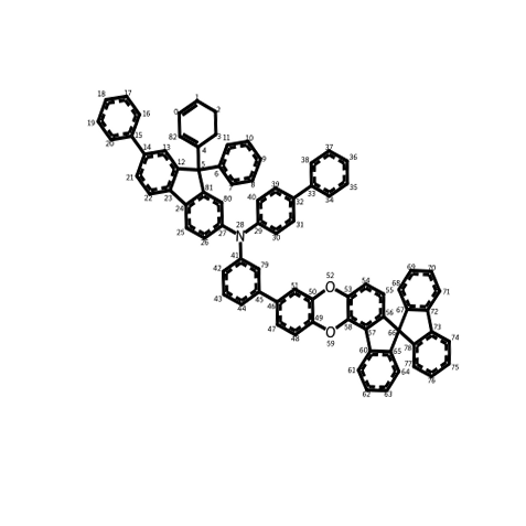 C1=CCCC(C2(c3ccccc3)c3cc(-c4ccccc4)ccc3-c3ccc(N(c4ccc(-c5ccccc5)cc4)c4cccc(-c5ccc6c(c5)Oc5ccc7c(c5O6)-c5ccccc5C75c6ccccc6-c6ccccc65)c4)cc32)=C1